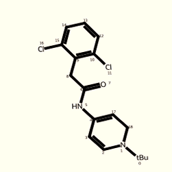 CC(C)(C)N1C=CC(NC(=O)Cc2c(Cl)cccc2Cl)=CC1